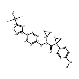 COc1ccc(C2(C(=O)N(Cc3ccc(-c4noc(C(F)(F)F)n4)cc3)C3CC3)CC2)cc1